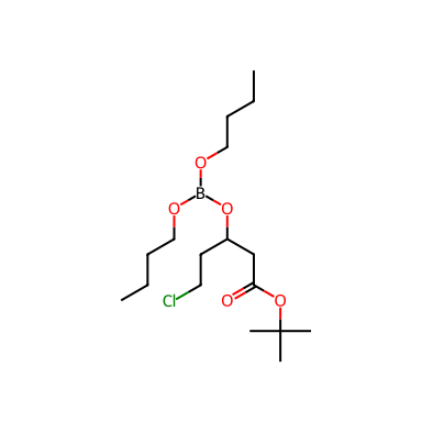 CCCCOB(OCCCC)OC(CCCl)CC(=O)OC(C)(C)C